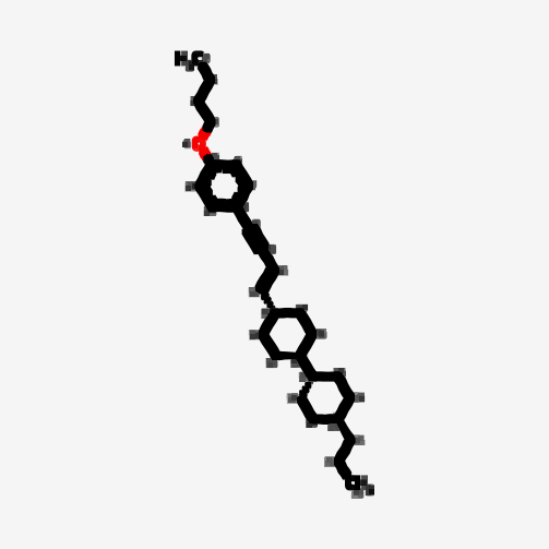 CCCCOc1ccc(C#CC=C[C@H]2CC[C@H]([C@H]3CC[C@H](CCC)CC3)CC2)cc1